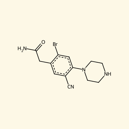 N#Cc1cc(CC(N)=O)c(Br)cc1N1CCNCC1